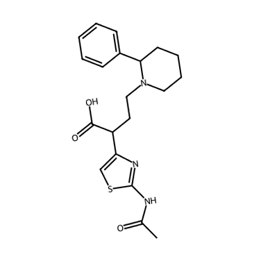 CC(=O)Nc1nc(C(CCN2CCCCC2c2ccccc2)C(=O)O)cs1